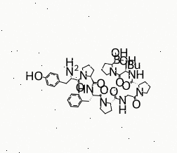 CCC(C)[C@H](NC(=O)[C@@H]1CCCN1C(=O)CNC(=O)[C@@H]1CCCN1C(=O)[C@H](Cc1ccccc1)NC(=O)[C@@H]1CCCN1C(=O)[C@@H](N)Cc1ccc(O)cc1)C(=O)N1CCC[C@H]1B(O)O